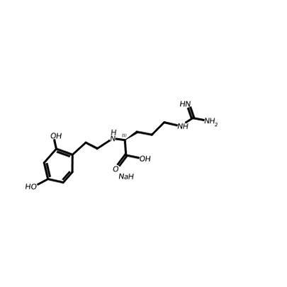 N=C(N)NCCC[C@H](NCCc1ccc(O)cc1O)C(=O)O.[NaH]